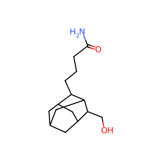 NC(=O)CCCC1C2CC3CC(C2)C(CO)C1C3